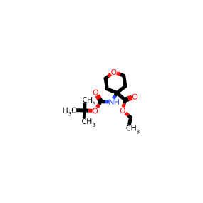 CCOC(=O)C1(NC(=O)OC(C)(C)C)CCOCC1